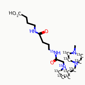 CN1[13CH2][13CH2]N([13CH2][13CH]2[13CH2][13CH2][13CH2][15N]2CC(=O)[15NH]CCCC(=O)NCCCC(=O)O)[13CH2][13CH2]1